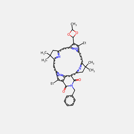 CCc1c(C2OC(C)O2)c2cc3nc(cc4[nH]c5c(c6nc(cc1[nH]2)C(C)(C)C6)C(=O)N(Cc1ccccc1)C(=O)c5c4CC)C(C)(C)C3